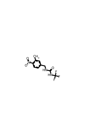 Cc1cc(CNC(=O)NC(F)(F)F)ccc1[N+](=O)[O-]